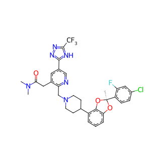 CN(C)C(=O)Cc1cc(-c2nnc(C(F)(F)F)[nH]2)cnc1CN1CCC(c2cccc3c2O[C@@](C)(c2ccc(Cl)cc2F)O3)CC1